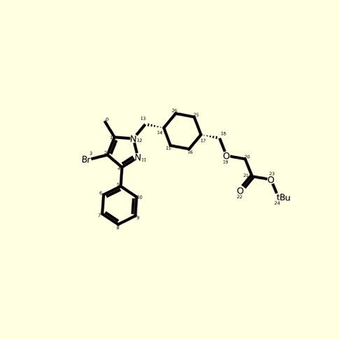 Cc1c(Br)c(-c2ccccc2)nn1C[C@H]1CC[C@@H](COCC(=O)OC(C)(C)C)CC1